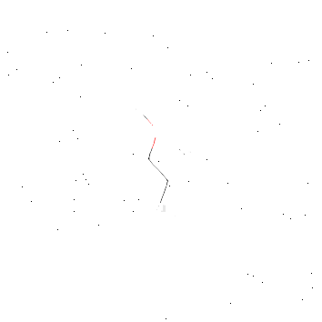 COC[CH2][AlH2].[NaH]